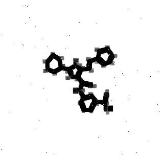 O=C(O)c1cccc(NC(=O)c2nc(C3CCCCC3)[nH]c2C=Cc2ccccc2)c1